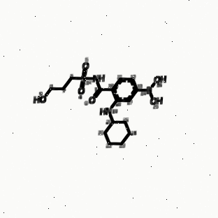 O=C(NS(=O)(=O)CCCO)c1ccc(B(O)O)cc1NC1CCCCC1